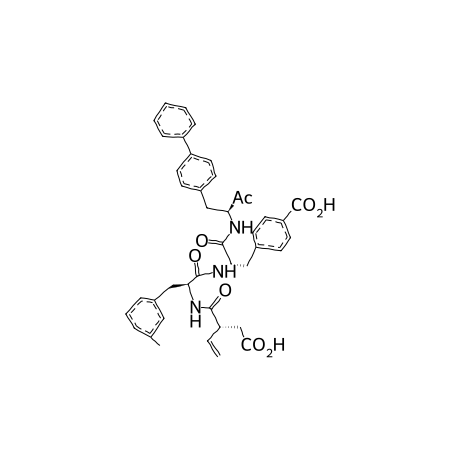 C=C[C@@H](CC(=O)O)C(=O)N[C@@H](Cc1cccc(C)c1)C(=O)N[C@@H](Cc1ccc(C(=O)O)cc1)C(=O)N[C@@H](Cc1ccc(-c2ccccc2)cc1)C(C)=O